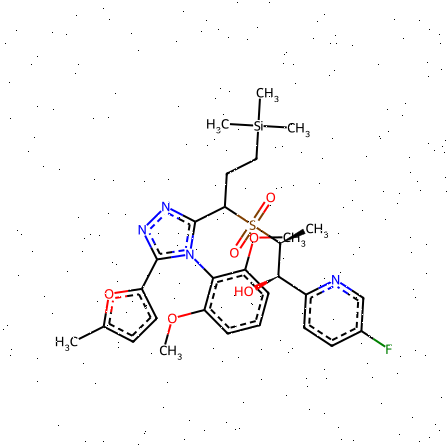 COc1cccc(OC)c1-n1c(-c2ccc(C)o2)nnc1C(CC[Si](C)(C)C)S(=O)(=O)[C@@H](C)[C@H](O)c1ccc(F)cn1